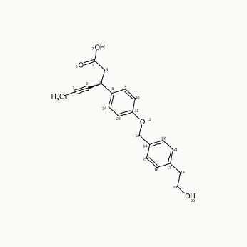 CC#C[C@@H](CC(=O)O)c1ccc(OCc2ccc(CCO)cc2)cc1